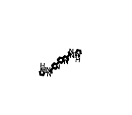 c1cc2cc(-c3cnc([C@@H]4CCCN4)[nH]3)cnc2cc1-c1ccc(-c2cnc([C@@H]3CCCN3)[nH]2)cn1